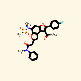 CNC(=O)c1c(-c2ccc(F)cc2)oc2cc(N(C)S(C)(=O)=O)c3c(c12)CC(CC(=O)N(C)c1ccccc1)O3